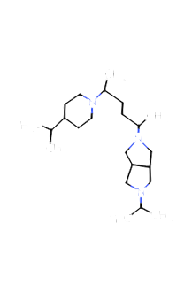 CC(C)C1CCN(C(C)CCC(C)N2CC3CN(C(C)C)CC3C2)CC1